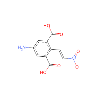 Nc1cc(C(=O)O)c(/C=C/[N+](=O)[O-])c(C(=O)O)c1